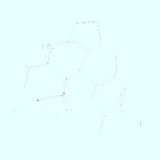 CC1(C)CCC2=C(C1=O)C(c1cc(F)c(F)cc1F)C1=C(CCS1)N2